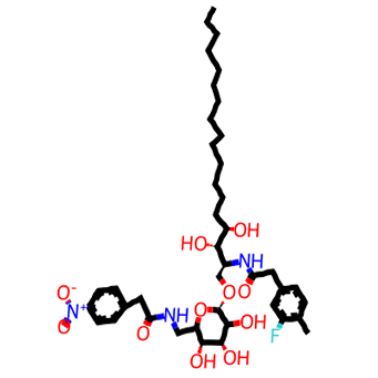 CCCCCCCCCCCCCC[C@@H](O)[C@@H](O)[C@H](CO[C@H]1OC(CNC(=O)Cc2ccc([N+](=O)[O-])cc2)[C@H](O)[C@H](O)C1O)NC(=O)Cc1ccc(C)c(F)c1